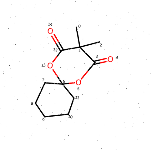 CC1(C)C(=O)OC2(CCCCC2)OC1=O